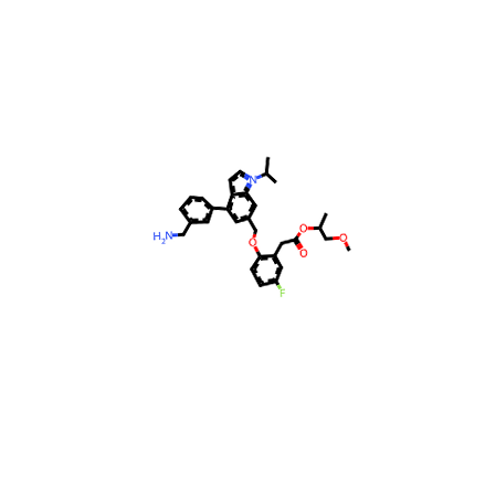 COCC(C)OC(=O)Cc1cc(F)ccc1OCc1cc(-c2cccc(CN)c2)c2ccn(C(C)C)c2c1